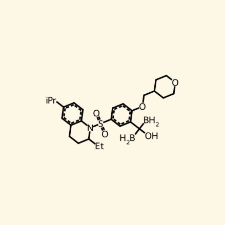 BC(B)(O)c1cc(S(=O)(=O)N2c3ccc(C(C)C)cc3CCC2CC)ccc1OCC1CCOCC1